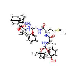 COC(=O)C12CC3CC(CC(C3)C1(N)C(=O)[C@H](Cc1ccccc1)NC(=O)CNC(=O)[C@@H](CCSC)NC(=O)[C@H](Cc1ccc(O)cc1)NC(=O)OC(C)(C)C)C2